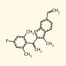 C=Cc1ccc2c(C)c(C(=C)c3c(C)cc(F)cc3C)sc2c1